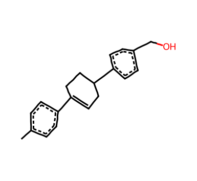 Cc1ccc(C2=CCC(c3ccc(CO)cc3)CC2)cc1